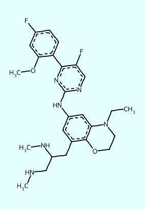 CCN1CCOc2c(CC(CNC)NC)cc(Nc3ncc(F)c(-c4ccc(F)cc4OC)n3)cc21